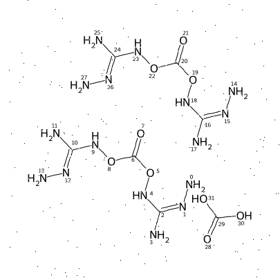 NN=C(N)NOC(=O)ONC(N)=NN.NN=C(N)NOC(=O)ONC(N)=NN.O=C(O)O